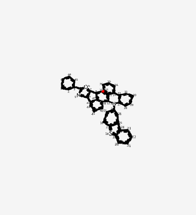 c1ccc(-c2nc3c(o2)-c2ccc(N(c4ccc5sc6ccccc6c5c4)c4ccccc4-c4ccccc4)c4cccc-3c24)cc1